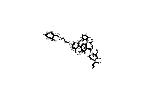 C=CC(=O)N1CCN(c2nc(=O)n(-c3ccccc3CCC)c3cc(-c4c(O)cc(OCCCOCc5ccccc5I)cc4F)c(Cl)cc23)[C@@H](C)C1